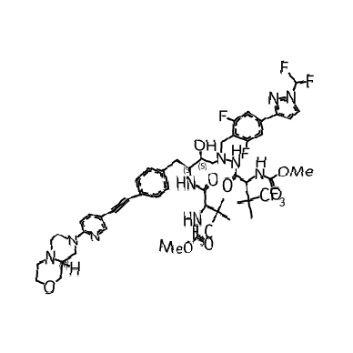 COC(=O)NC(C(=O)N[C@@H](Cc1ccc(C#Cc2ccc(N3CCN4CCOC[C@H]4C3)nc2)cc1)[C@@H](O)CN(Cc1c(F)cc(-c2ccn(C(F)F)n2)cc1F)NC(=O)C(NC(=O)OC)C(C)(C)C(F)(F)F)C(C)(C)C(F)(F)F